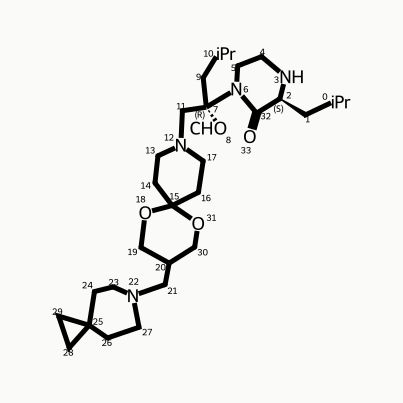 CC(C)C[C@@H]1NCCN([C@](C=O)(CC(C)C)CN2CCC3(CC2)OCC(CN2CCC4(CC2)CC4)CO3)C1=O